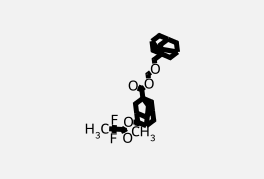 CC(F)(F)C(=O)OC1(C)C2CC3CC1CC(C(=O)OCOCC14CC5CC(CC(C5)C1)C4)(C3)C2